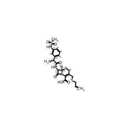 C=CCSCC1=C(C(=O)O)N2C(=O)C(NC(=O)C(N)c3cccc(NS(C)(=O)=O)c3)[C@@H]2SC1